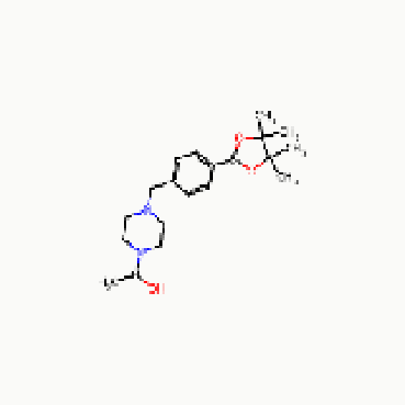 CB(O)N1CCN(Cc2ccc(B3OC(C)(C)C(C)(C)O3)cc2)CC1